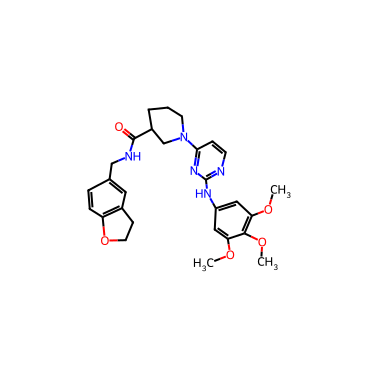 COc1cc(Nc2nccc(N3CCCC(C(=O)NCc4ccc5c(c4)CCO5)C3)n2)cc(OC)c1OC